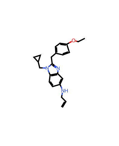 C=CCNc1ccc2c(c1)nc(Cc1ccc(OCC)cc1)n2CC1CC1